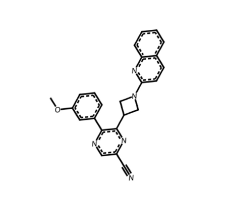 COc1cccc(-c2ncc(C#N)nc2C2CN(c3ccc4ccccc4n3)C2)c1